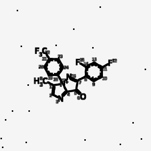 CC1=CN=C2C(=O)C(c3ccc(F)cc3F)=N[N+]12c1ccc(C(F)(F)F)cc1